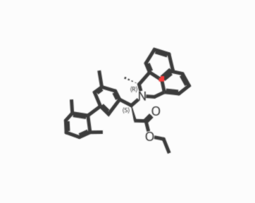 CCOC(=O)C[C@@H](c1cc(C)cc(-c2c(C)cccc2C)c1)N(Cc1ccccc1)[C@H](C)c1ccccc1